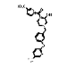 O=C(O)c1ccn(C(=O)N2CCN(Cc3cccc(Oc4ccc(C(F)(F)F)cn4)c3)CC2O)n1